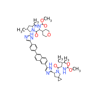 COC(=O)N[C@H](C(=O)N1CC2(CC2)C[C@H]1c1ncc(-c2ccc3cc(-c4ccc(-c5cnc([C@@H]6[C@@H](C)C[C@@H](C)N6C(=O)[C@@H](NC(=O)OC)C6CCOCC6)[nH]5)cc4)ccc3c2)[nH]1)C(C)C